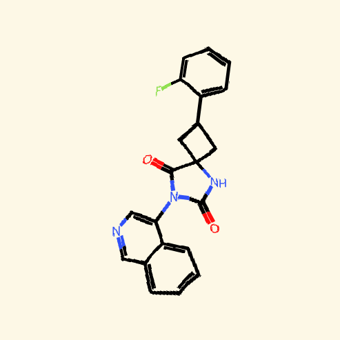 O=C1NC2(CC(c3ccccc3F)C2)C(=O)N1c1cncc2ccccc12